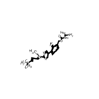 CN(C)CCCN(C)c1ncc(-c2cccc(COC(=O)NC(=N)N)c2F)cn1